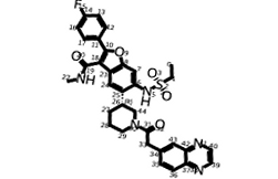 CCS(=O)(=O)Nc1cc2oc(-c3ccc(F)cc3)c(C(=O)NC)c2cc1[C@H]1CCCN(C(=O)Cc2ccc3nccnc3c2)C1